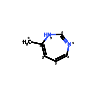 [CH2]C1=CC=CN=CN1